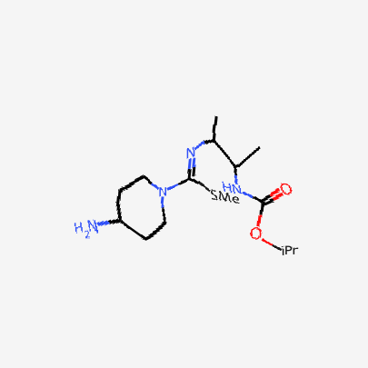 CS/C(=N\C(C)C(C)NC(=O)OC(C)C)N1CCC(N)CC1